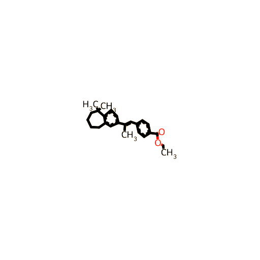 CCOC(=O)c1ccc(C=C(C)c2ccc3c(c2)CCCCC3(C)C)cc1